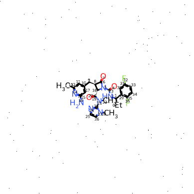 CCC(NC(=O)N1C(=O)[C@H](Cc2cc(C)nc(N)c2)[C@H]1C(=O)N(C)c1nccn1C)c1cc(F)ccc1F